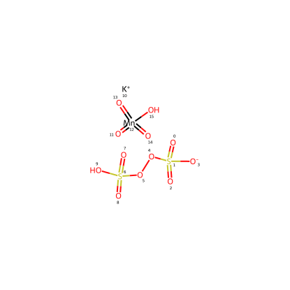 O=S(=O)([O-])OOS(=O)(=O)O.[K+].[O]=[Mn](=[O])(=[O])[OH]